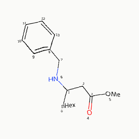 CCCCCCC(CC(=O)OC)NCc1ccccc1